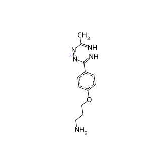 CC(=N)/N=N\C(=N)c1ccc(OCCCN)cc1